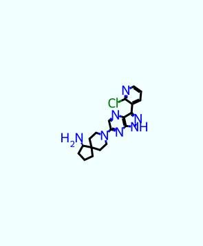 N[C@@H]1CCCC12CCN(c1cnc3c(-c4cccnc4Cl)n[nH]c3n1)CC2